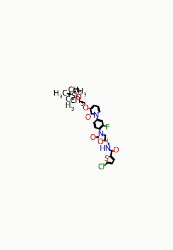 CC(C)(C)[Si](C)(C)OCCOc1cccn(-c2ccc(N3C[C@H](CNC(=O)c4ccc(Cl)s4)OC3=O)c(F)c2)c1=O